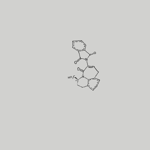 O=C(O)[C@@H]1CCc2cccc3c2N1C(=O)C(N1C(=O)c2ccccc2C1=O)=CC3